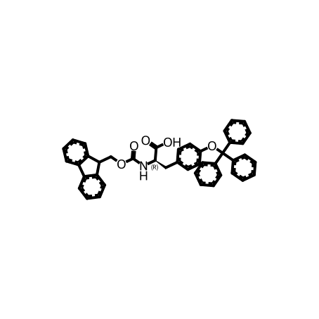 O=C(N[C@H](Cc1ccc(OC(c2ccccc2)(c2ccccc2)c2ccccc2)cc1)C(=O)O)OCC1c2ccccc2-c2ccccc21